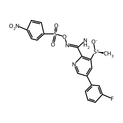 C[S@+]([O-])c1cc(-c2cccc(F)c2)cnc1/C(N)=N/OS(=O)(=O)c1ccc([N+](=O)[O-])cc1